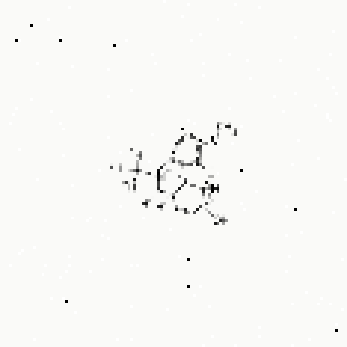 [2H]C([2H])([2H])N1CC[C@]23c4c5ccc(OC)c4OC2([2H])C([2H])(O)C=C[C@H]3[C@H]1C5